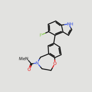 CNC(=O)N1CCOc2ccc(-c3c(F)ccc4[nH]ccc34)cc2C1